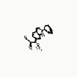 COC(=C(C#N)C#N)c1ccc2ccc(-c3ccccc3)nc2c1